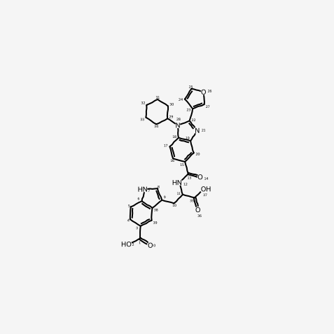 O=C(O)c1ccc2[nH]cc(CC(NC(=O)c3ccc4c(c3)nc(-c3ccoc3)n4C3CCCCC3)C(=O)O)c2c1